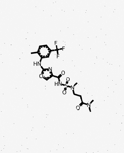 Cc1ccc(C(F)(F)F)cc1Nc1nc(C(=O)NS(=O)(=O)N(C)CCC(=O)N(C)C)co1